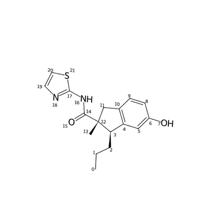 CCC[C@@H]1c2cc(O)ccc2C[C@@]1(C)C(=O)Nc1nccs1